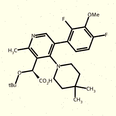 COc1c(F)ccc(-c2cnc(C)c([C@H](OC(C)(C)C)C(=O)O)c2N2CCC(C)(C)CC2)c1F